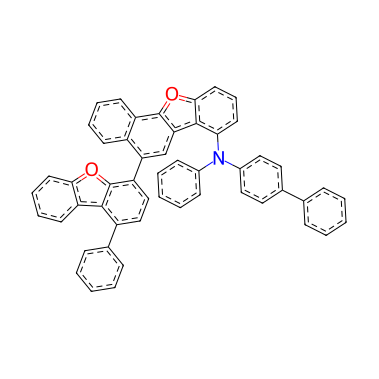 c1ccc(-c2ccc(N(c3ccccc3)c3cccc4oc5c6ccccc6c(-c6ccc(-c7ccccc7)c7c6oc6ccccc67)cc5c34)cc2)cc1